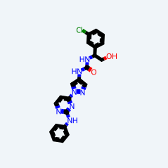 O=C(Nc1cnn(-c2ccnc(Nc3ccccc3)n2)c1)NC(CO)c1cccc(Cl)c1